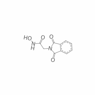 O=C(CN1C(=O)c2ccccc2C1=O)NO